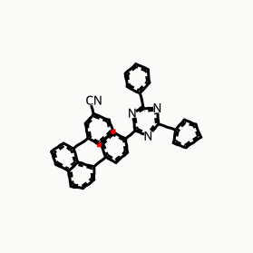 N#Cc1cccc(-c2cccc3cccc(-c4ccc(-c5nc(-c6ccccc6)nc(-c6ccccc6)n5)cc4)c23)c1